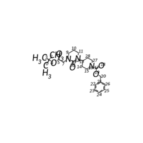 CC(C)(C)OC(=O)CN1CCCN(C2CCN(C(=O)OCc3ccccc3)CC2)C1=O